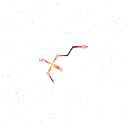 COP(=O)(O)OCCO